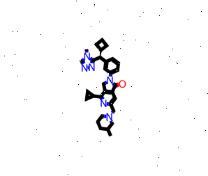 CC1CCCN(Cc2cc3c(c(C4CC4)n2)CN(c2cccc([C@@H](c4nncn4C)C4CCC4)c2)C3=O)C1